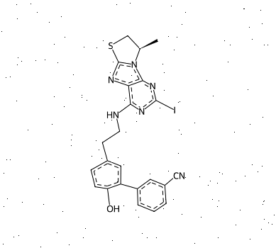 C[C@@H]1CSc2nc3c(NCCc4ccc(O)c(-c5cccc(C#N)c5)c4)nc(I)nc3n21